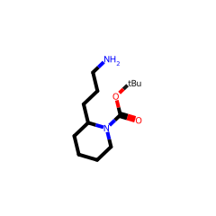 CC(C)(C)OC(=O)N1CCCCC1CCCN